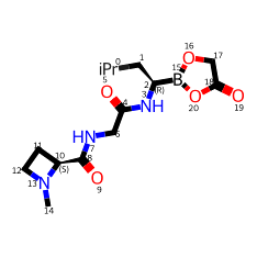 CC(C)C[C@H](NC(=O)CNC(=O)[C@@H]1CCN1C)B1OCC(=O)O1